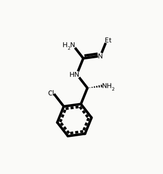 CCN=C(N)N[C@H](N)c1ccccc1Cl